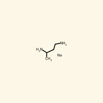 CC(N)CCN.[Na]